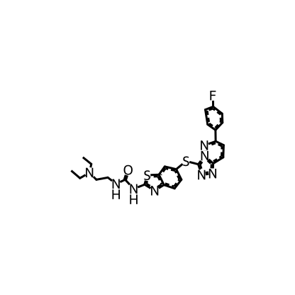 CCN(CC)CCNC(=O)Nc1nc2ccc(Sc3nnc4ccc(-c5ccc(F)cc5)nn34)cc2s1